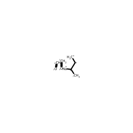 C=O.C=O.CC[CH](C)[Na]